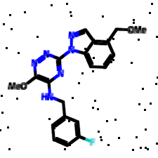 COCc1cccc2c1cnn2-c1nnc(OC)c(NCc2cccc(F)c2)n1